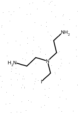 NCCN(CI)CCN